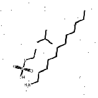 CC(C)C.CCCCCCCCCCCCN.CCOS(=O)(=O)O